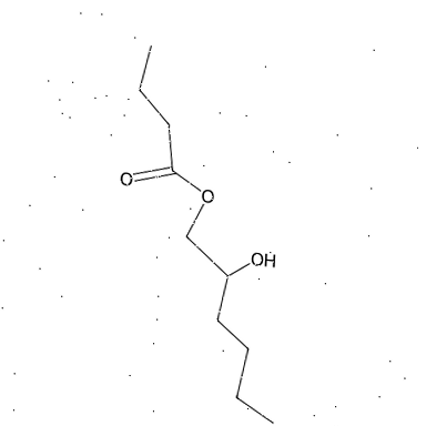 CCCCC(O)COC(=O)CCC